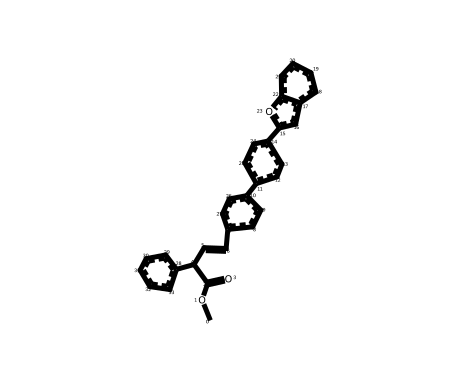 COC(=O)C(/C=C/c1ccc(-c2ccc(-c3cc4ccccc4o3)cc2)cc1)c1ccccc1